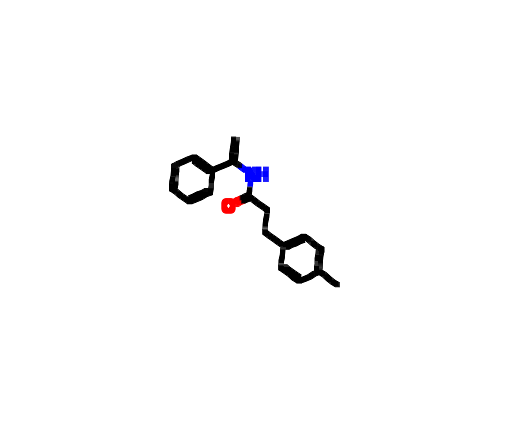 C=C(NC(=O)CCc1ccc(C)cc1)c1ccccc1